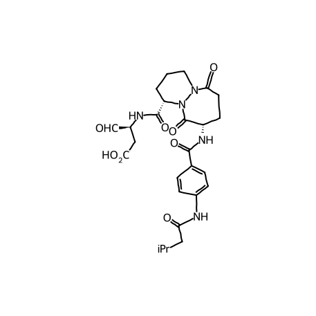 CC(C)CC(=O)Nc1ccc(C(=O)N[C@H]2CCC(=O)N3CCC[C@@H](C(=O)N[C@H](C=O)CC(=O)O)N3C2=O)cc1